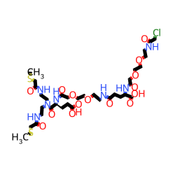 CSCC(=O)NCCN(CCNC(=O)CSC)C(=O)[C@H](CCC(=O)O)NC(=O)COCCOCCNC(=O)CCC(NC(=O)COCCOCCNC(=O)CCl)C(=O)O